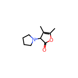 CC1=C(C)C(N2CCCC2)C(=O)O1